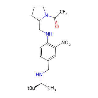 C[C@H](NCc1ccc(NCC2CCCN2C(=O)C(F)(F)F)c([N+](=O)[O-])c1)C(C)(C)C